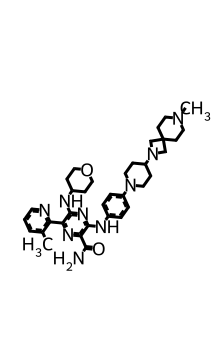 Cc1cccnc1-c1nc(C(N)=O)c(Nc2ccc(N3CCC(N4CC5(CCN(C)CC5)C4)CC3)cc2)nc1NC1CCOCC1